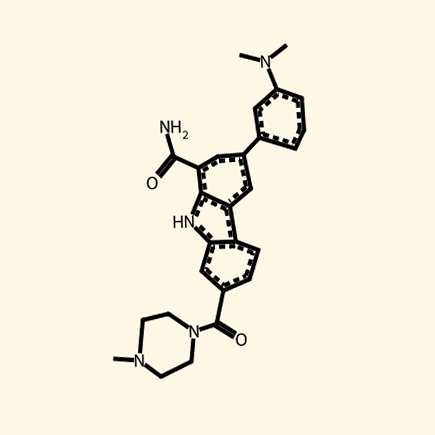 CN1CCN(C(=O)c2ccc3c(c2)[nH]c2c(C(N)=O)cc(-c4cccc(N(C)C)c4)cc23)CC1